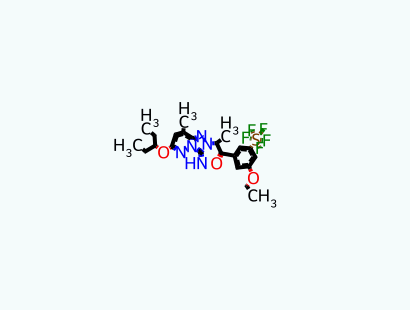 CCOc1cc(C(=O)C(C)n2nc3c(C)cc(OC(CC)CC)nn3c2=N)cc(S(F)(F)(F)(F)F)c1